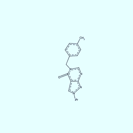 Cc1ccc(Cn2cnc3nn(C(C)C)cc3c2=O)cc1